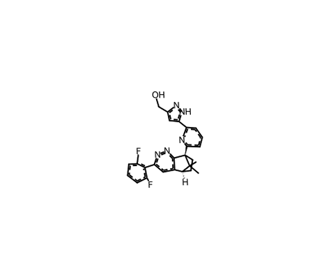 CC1(C)[C@H]2CC[C@@]1(c1cccc(-c3cc(CO)n[nH]3)n1)c1nnc(-c3c(F)cccc3F)cc12